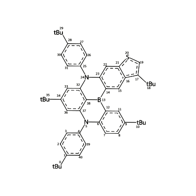 CC(C)(C)c1ccc(N2c3ccc(C(C)(C)C)cc3B3c4cc5c(C(C)(C)C)csc5cc4N(c4ccc(C(C)(C)C)cc4)c4cc(C(C)(C)C)cc2c43)cc1